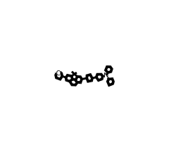 CC1(C)c2cc(-c3ccccc3)cc3ccc4cc(-c5ccc(-c6ccc(N(c7ccccc7)c7ccccc7)cc6)cc5)cc1c4c23